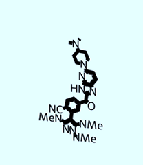 CNc1nn(NC)c(NC)c1-c1cc(C(=O)c2nc3ccc(N4CCC(N(C)C)CC4)nc3[nH]2)ccc1C#N